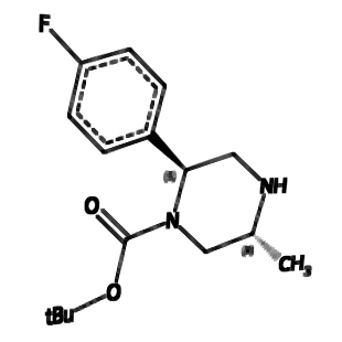 C[C@@H]1CN(C(=O)OC(C)(C)C)[C@@H](c2ccc(F)cc2)CN1